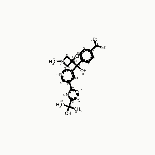 CCC(CC)c1ccc(C(O)(c2cncc(-c3noc(C(C)(C)O)n3)c2)C2(C)CN(C)C2)cc1